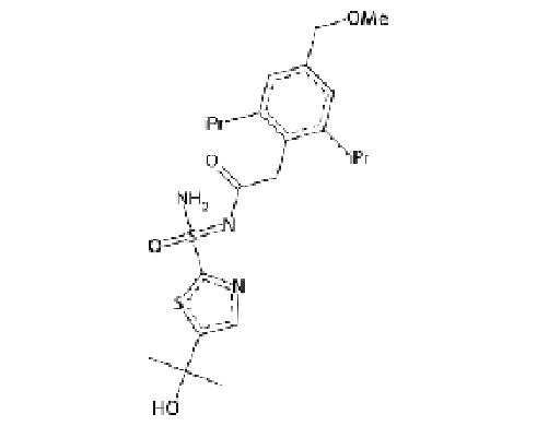 COCc1cc(C(C)C)c(CC(=O)N=S(N)(=O)c2ncc(C(C)(C)O)s2)c(C(C)C)c1